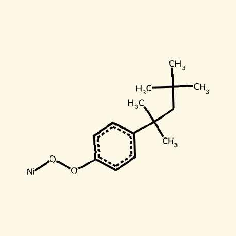 CC(C)(C)CC(C)(C)c1ccc(O[O][Ni])cc1